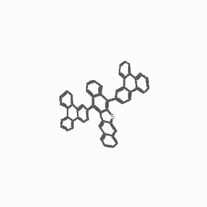 c1ccc2cc3c(cc2c1)sc1c(-c2ccc4c5ccccc5c5ccccc5c4c2)c2ccccc2c(-c2ccc4c5ccccc5c5ccccc5c4c2)c13